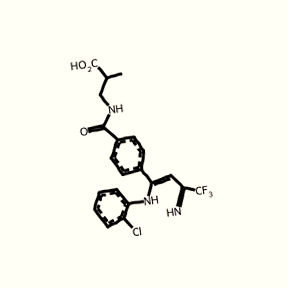 CC(CNC(=O)c1ccc(/C(=C/C(=N)C(F)(F)F)Nc2ccccc2Cl)cc1)C(=O)O